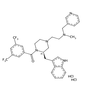 CN(CCN1CCN(C(=O)c2cc(C(F)(F)F)cc(C(F)(F)F)c2)[C@H](Cc2c[nH]c3ccccc23)C1)Cc1cccnc1.Cl.Cl